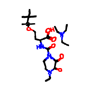 CCN(CC)CC.CCN1CCN(C(=O)NC(CCO[Si](C)(C)C(C)(C)C)C(=O)O)C(=O)C1=O